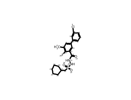 Cc1cc(-c2cccc(Cl)c2)cc(C(=O)NNS(=O)(=O)CC2CCCCC2)c1F